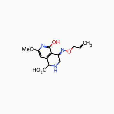 C=CCO/N=C1\CNC(C(=O)O)c2cc(OC)nc(O)c21